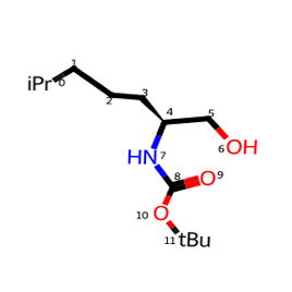 CC(C)CCC[C@@H](CO)NC(=O)OC(C)(C)C